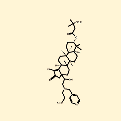 CC(=O)NCCN(Cc1ccncc1)CC(O)C12CC[C@]3(C)[C@H](CC[C@@H]4[C@@]5(C)CC[C@H](OC(=O)CC(C)(C)C(=O)O)C(C)(C)[C@@H]5CC[C@]43C)C1=C(C(C)C)C(=O)C2